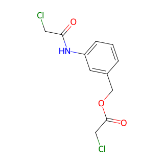 O=C(CCl)Nc1cccc(COC(=O)CCl)c1